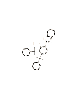 CC(C)(c1ccccc1)c1ccc(-n2nc3ccccc3n2)c(O)c1C(C)(C)c1ccccc1